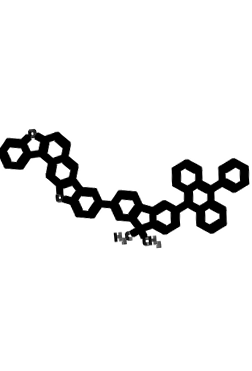 CC1(C)c2ccc(-c3c4ccccc4c(-c4ccccc4)c4ccccc34)cc2-c2ccc(-c3ccc4oc5cc6c(ccc7oc8ccccc8c76)cc5c4c3)cc21